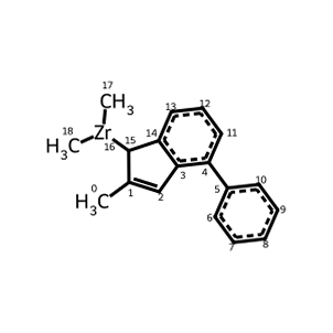 CC1=Cc2c(-c3ccccc3)cccc2[CH]1[Zr]([CH3])[CH3]